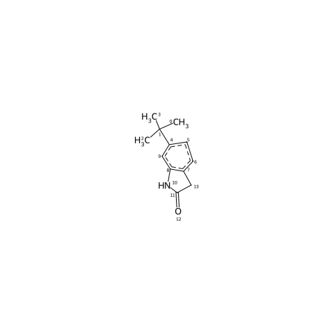 CC(C)(C)c1ccc2c(c1)NC(=O)C2